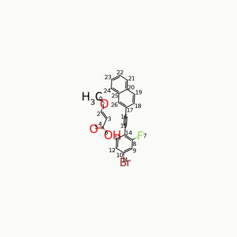 COC=CC(=O)O.Fc1cc(Br)ccc1C#Cc1ccc2ccccc2c1